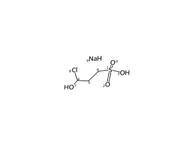 O=S(=O)(O)CCC(O)Cl.[NaH]